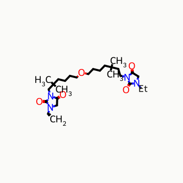 C=CN1CC(=O)N(CC(C)(C)CCCCOCCCCC(C)(C)CCN2C(=O)CN(CC)C2=O)C1=O